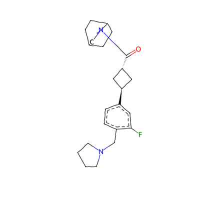 O=C([C@H]1C[C@H](c2ccc(CN3CCCC3)c(F)c2)C1)N1CC2CCC(CC2)C1